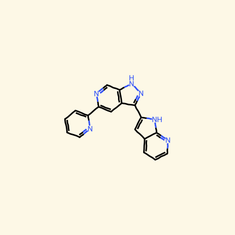 c1ccc(-c2cc3c(-c4cc5cccnc5[nH]4)n[nH]c3cn2)nc1